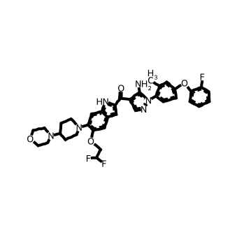 Cc1cc(Oc2ccccc2F)ccc1-n1ncc(C(=O)c2cc3cc(OCC(F)F)c(N4CCC(N5CCOCC5)CC4)cc3[nH]2)c1N